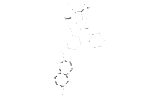 COc1ccc2nc(N[C@@H]3CCC[C@H](C[C@@]4(CCC5CCCCC5)CC(=N)N(C)C4=O)C3)ccc2c1